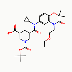 CCOCCN1C(=O)C(C)(C)Oc2ccc(N(C(=O)[C@@H]3C[C@H](C(=O)O)CN(C(=O)OC(C)(C)C)C3)C3CC3)cc21